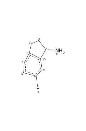 N[C@H]1CCc2ccc(F)cc21